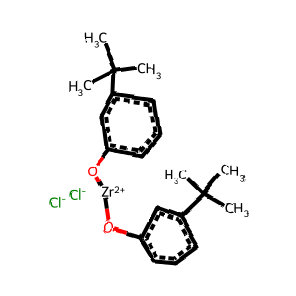 CC(C)(C)c1cccc([O][Zr+2][O]c2cccc(C(C)(C)C)c2)c1.[Cl-].[Cl-]